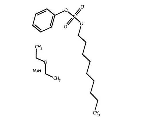 CCCCCCCCCOS(=O)(=O)Oc1ccccc1.CCOCC.[NaH]